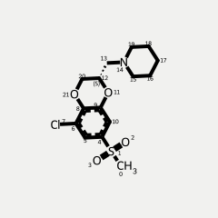 CS(=O)(=O)c1cc(Cl)c2c(c1)O[C@@H](CN1CCCCC1)CO2